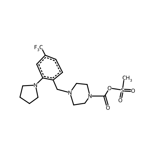 CS(=O)(=O)OC(=O)N1CCN(Cc2ccc(C(F)(F)F)cc2N2CCCC2)CC1